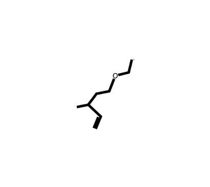 [CH2]COCCC(C)C=C